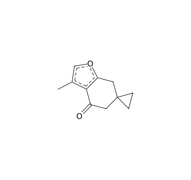 Cc1coc2c1C(=O)CC1(CC1)C2